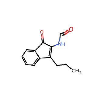 CCCC1=C(NC=O)C(=O)c2ccccc21